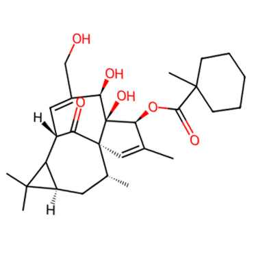 CC1=C[C@]23C(=O)[C@@H](C=C(CO)[C@@H](O)[C@]2(O)[C@H]1OC(=O)C1(C)CCCCC1)C1[C@@H](C[C@H]3C)C1(C)C